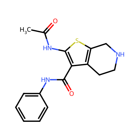 CC(=O)Nc1sc2c(c1C(=O)Nc1ccccc1)CCNC2